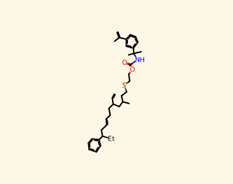 C=CC(CCC=CCC(CC)c1ccccc1)CC(C)CCSCCOC(=O)NC(C)(C)c1cccc(C(=C)C)c1